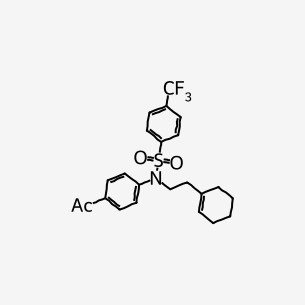 CC(=O)c1ccc(N(CCC2=CCCCC2)S(=O)(=O)c2ccc(C(F)(F)F)cc2)cc1